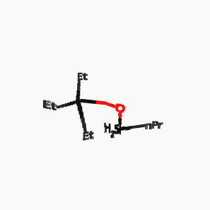 CCC[SiH2]OC(CC)(CC)CC